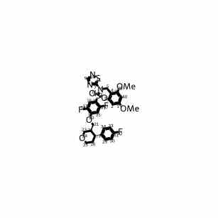 COc1ccc(CN(c2ncns2)S(=O)(=O)c2cc(F)c(OC[C@@H]3COCC[C@H]3c3ccc(F)cc3)cc2F)c(OC)c1